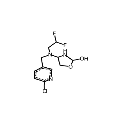 OC1NC(N(Cc2ccc(Cl)nc2)CC(F)F)CO1